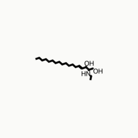 CCCCCCCCCCCCCC=CC(O)C(CO)NCC